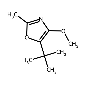 COc1nc(C)oc1C(C)(C)C